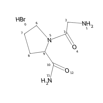 Br.NCC(=O)N1CCCC1C(N)=O